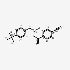 C=C(CN(C)Cc1ccc(C(C)(C)C)cc1)c1ccc(C#N)cc1